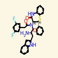 N[C@@H](Cc1cc2ccccc2[nH]1)C(=O)N(C(=O)Cc1cc(F)cc(F)c1)[C@@H]1C(=O)Nc2ccccc2S[C@@H]1c1ccccc1